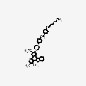 CCCCCCOc1ccc(C(=O)Oc2ccc(N3CCN(c4cc5c(cc4OC)c4occ(C)c(C)c4c4cc6ccccc6c54)CC3)cc2)cc1